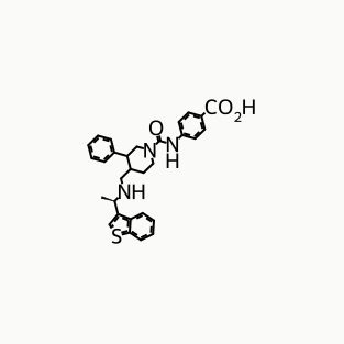 C[C@@H](NCC1CCN(C(=O)Nc2ccc(C(=O)O)cc2)CC1c1ccccc1)c1csc2ccccc12